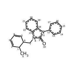 CC1C=CC=CC1Cn1c(=O)n(-c2ccccc2)c2ccccc21